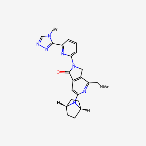 CNCc1nc(N2[C@H]3CC[C@@H]2CC3)cc2c1CN(c1cccc(-c3nncn3C(C)C)n1)C2=O